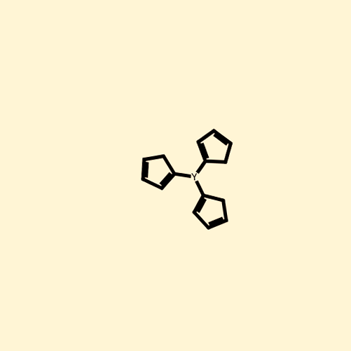 C1=CC[C]([Y]([C]2=CC=CC2)[C]2=CC=CC2)=C1